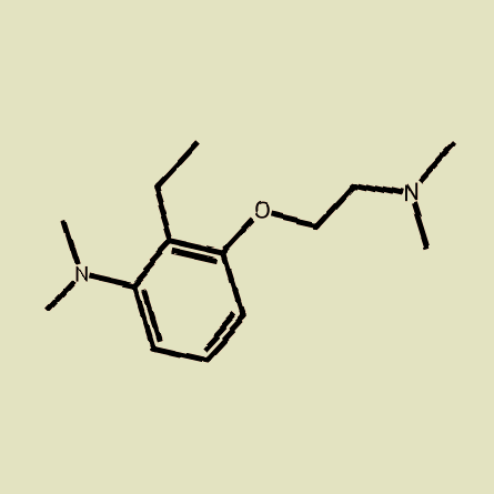 CCc1c(OCCN(C)C)cccc1N(C)C